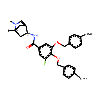 COc1ccc(COc2cc(C(=O)N[C@H]3C[C@H]4CC3=CN4C)cc(F)c2OCc2ccc(OC)cc2)cc1